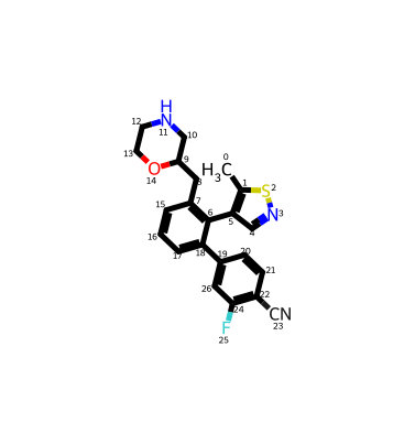 Cc1sncc1-c1c(CC2CNCCO2)cccc1-c1ccc(C#N)c(F)c1